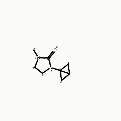 CN1CCN(C23CC2C3)C1=O